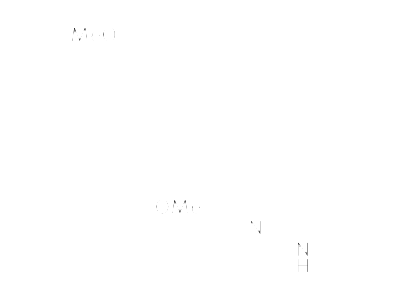 COc1ccc(-c2cc[nH]n2)c(OC)c1